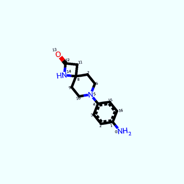 Nc1ccc(N2CCC3(CC2)CC(=O)N3)cc1